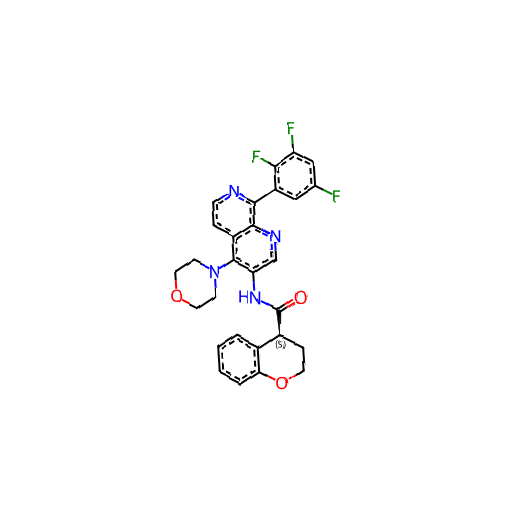 O=C(Nc1cnc2c(-c3cc(F)cc(F)c3F)nccc2c1N1CCOCC1)[C@H]1CCOc2ccccc21